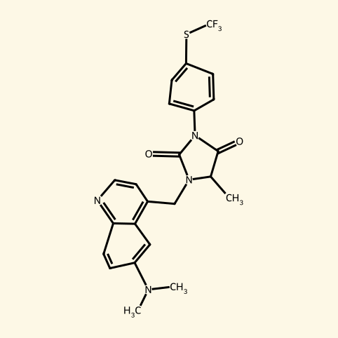 CC1C(=O)N(c2ccc(SC(F)(F)F)cc2)C(=O)N1Cc1ccnc2ccc(N(C)C)cc12